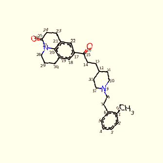 Cc1ccccc1CCN1CCC(CCC(=O)c2cc3c4c(c2)CCC(=O)N4CCC3)CC1